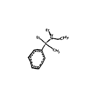 CC[SiH](C)[Si](C)(CC)c1ccccc1